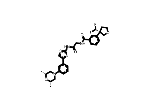 C[C@@H]1CN(c2cccc(-c3csc(NC(=O)CNC(=O)c4cccc([C@@]5(C(F)F)CCOC5)c4)n3)c2)C[C@H](C)O1